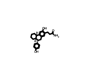 NC(=O)CCc1cc2c(cc1O)[C@@H]1CCCC[C@@H]1[C@H](c1ccc(O)cc1)C2